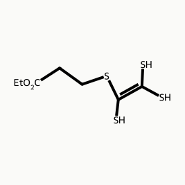 CCOC(=O)CCSC(S)=C(S)S